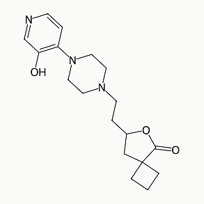 O=C1OC(CCN2CCN(c3ccncc3O)CC2)CC12CCC2